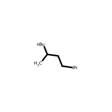 [CH2]CCCC(C)CCC([CH2])C